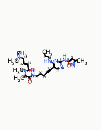 CCCNc1nc(Nc2cc(C)no2)ncc1C#CCCCNC(=O)[C@H](C)N(C)C(=O)/C=C/CN(C)C